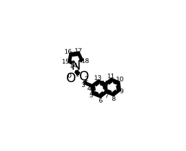 O=C(OCc1ccc2ccccc2c1)N1CC=CC1